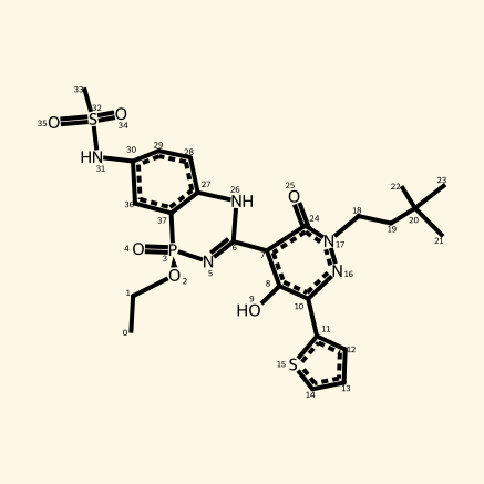 CCO[P@]1(=O)N=C(c2c(O)c(-c3cccs3)nn(CCC(C)(C)C)c2=O)Nc2ccc(NS(C)(=O)=O)cc21